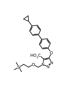 C[Si](C)(C)CCOCn1nnc(Oc2ccc(-c3ccc(C4CC4)cc3)cc2)c1C(=O)O